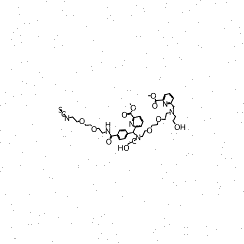 COC(=O)c1cccc(CN(CCO)CCOCCOCCN(CCO)C(c2ccc(C(=O)NCCOCCOCCN=C=S)cc2)c2cccc(C(=O)OC)n2)n1